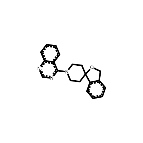 c1ccc2c(c1)COC21CCN(c2ncnc3ccccc23)CC1